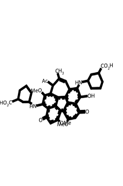 COc1c(NC2CCCC(C(=O)O)C2)c2c(=O)cc(OC)c3c4c(OC)cc(=O)c5c(O)c(NC6CCCC(C(=O)O)C6)c6c(c(c1C(C(C)=O)C(C)=C6)c23)c54